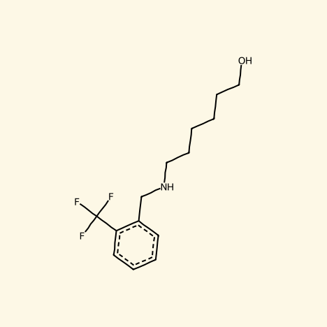 OCCCCCCNCc1ccccc1C(F)(F)F